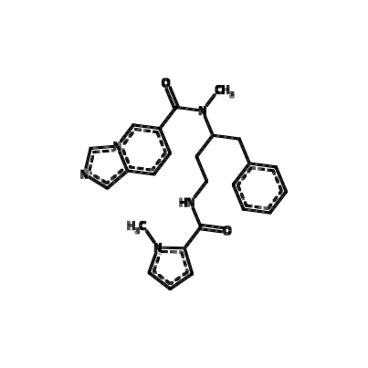 CN(C(=O)c1ccc2cncn2c1)C(CCNC(=O)c1cccn1C)Cc1ccccc1